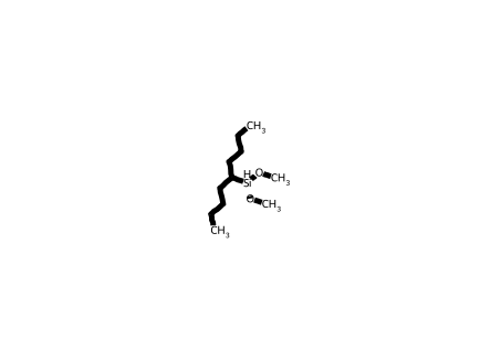 CCCCC(CCCC)[SiH](OC)OC